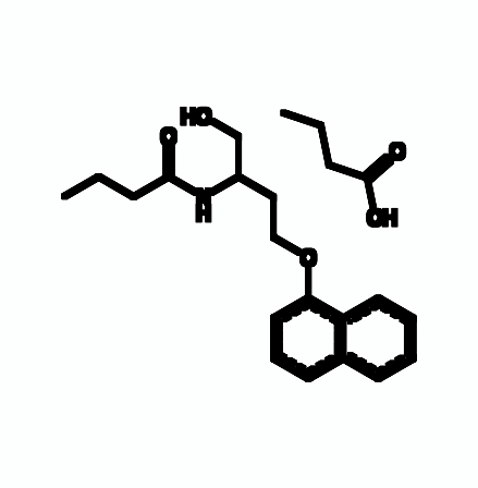 CCCC(=O)NC(CO)CCOc1cccc2ccccc12.CCCC(=O)O